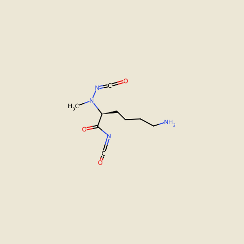 CN(N=C=O)[C@@H](CCCCN)C(=O)N=C=O